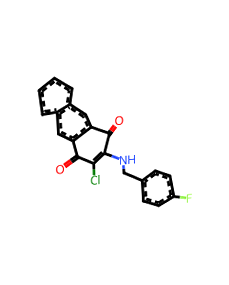 O=C1C(Cl)=C(NCc2ccc(F)cc2)C(=O)c2cc3ccccc3cc21